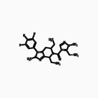 CCc1c(C(=O)N2C(CC)Cc3c(nn(C)c3-c3cc(F)c(F)c(F)c3)C2CC)cnn1C